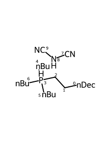 CCCCCCCCCCCC[PH](CCCC)(CCCC)CCCC.N#CNC#N